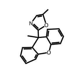 Cc1cnc(C2(C)c3ccccc3Oc3ccccc32)o1